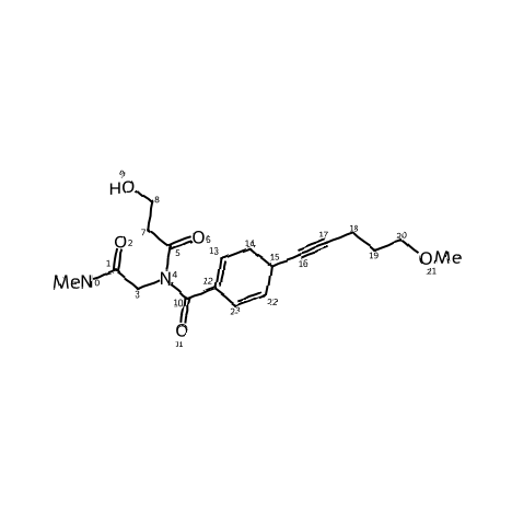 CNC(=O)CN(C(=O)CCO)C(=O)C1=CCC(C#CCCCOC)C=C1